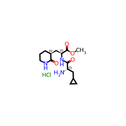 COC(=O)[C@H](C[C@@H]1CCCNC1=O)NC(=O)[C@@H](N)CC1CC1.Cl